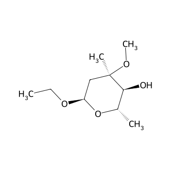 CCO[C@H]1C[C@@](C)(OC)[C@@H](O)[C@H](C)O1